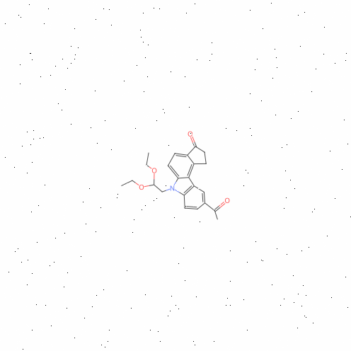 CCOC(Cn1c2ccc(C(C)=O)cc2c2c3c(ccc21)C(=O)CC3)OCC